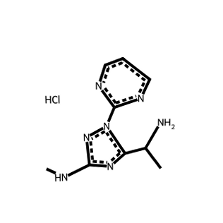 CNc1nc(C(C)N)n(-c2ncccn2)n1.Cl